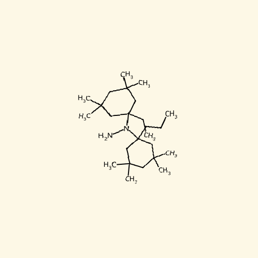 CCCC1(N(N)C2(CC)CC(C)(C)CC(C)(C)C2)CC(C)(C)CC(C)(C)C1